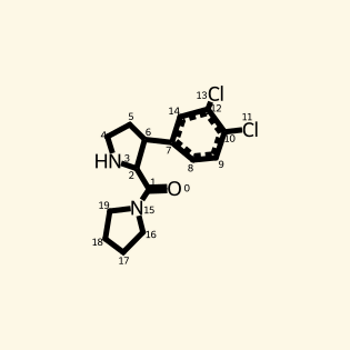 O=C(C1NCCC1c1ccc(Cl)c(Cl)c1)N1CCCC1